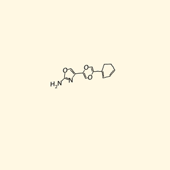 Nc1nc(C2=COC(C3=CC=CCC3)=CO2)co1